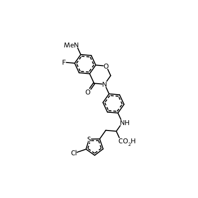 CNc1cc2c(cc1F)C(=O)N(c1ccc(NC(Cc3ccc(Cl)s3)C(=O)O)cc1)CO2